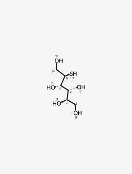 OC[C@@H](O)[C@@H](O)[C@H](O)[C@H](S)CO